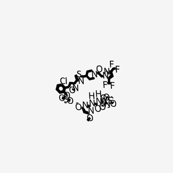 COc1cc(OC)nc(NC(=O)NS(=O)(=O)N(C)S(C)(=O)=O)n1.CS(=O)(=O)Oc1cccc(Cl)c1C1CC(c2csc(C3CCN(C(=O)Cn4nc(C(F)F)cc4C(F)F)CC3)n2)=NO1